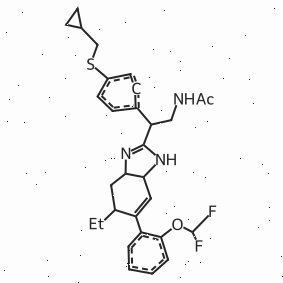 CCC1CC2N=C(C(CNC(C)=O)c3ccc(SCC4CC4)cc3)NC2C=C1c1ccccc1OC(F)F